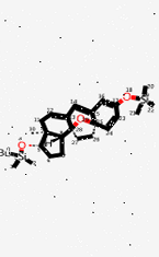 CC(C)(C)[Si](C)(C)O[C@H]1CC[C@@H]2[C@]1(C)CC=C1C=C3C=C(O[Si](C)(C)C)C=C[C@]34CC[C@@]12O4